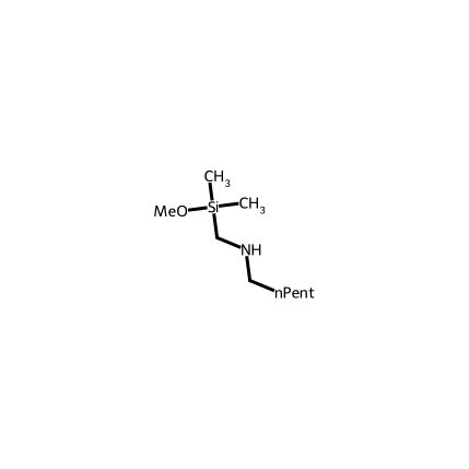 CCCCCCNC[Si](C)(C)OC